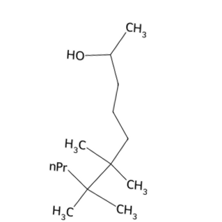 CCCC(C)(C)C(C)(C)CCCC(C)O